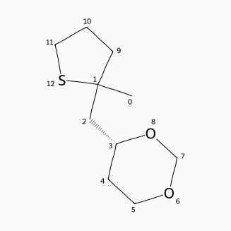 CC1(C[C@H]2CCOCO2)CCCS1